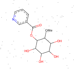 COC1C(O)C(O)C(O)C(O)C1OC(=O)c1cccnc1